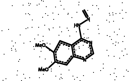 C=NNc1ncnc2cc(OC)c(OC)cc12